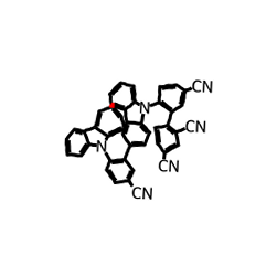 N#Cc1ccc(-c2cc(C#N)ccc2-n2c3ccccc3c3cc(-c4cc(C#N)ccc4-n4c5ccccc5c5ccccc54)ccc32)c(C#N)c1